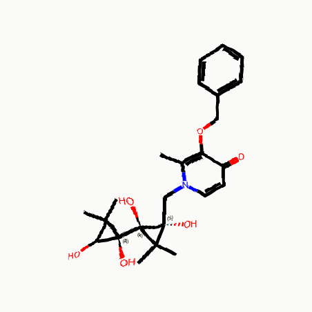 Cc1c(OCc2ccccc2)c(=O)ccn1C[C@@]1(O)C(C)(C)[C@]1(O)[C@]1(O)C(O)C1(C)C